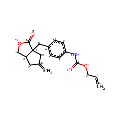 C=CCOC(=O)Nc1ccc(CC23CC(=C)CC2COC3=O)cc1